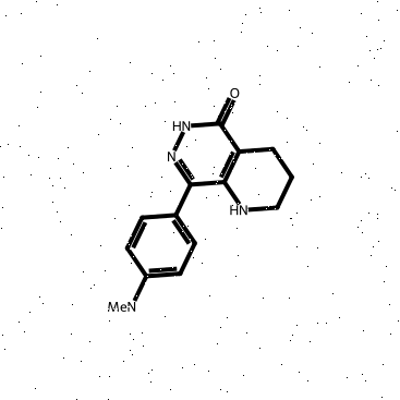 CNc1ccc(-c2n[nH]c(=O)c3c2NCCC3)cc1